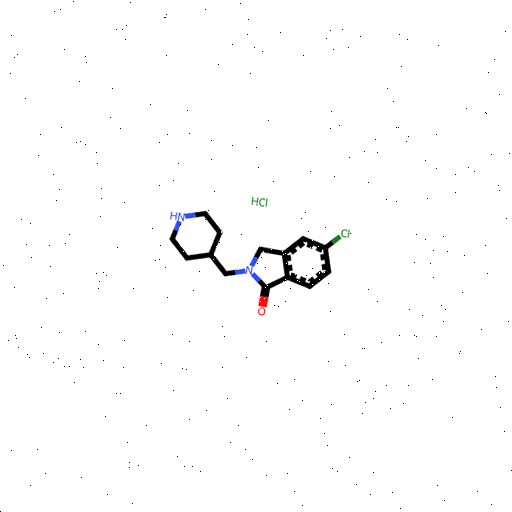 Cl.O=C1c2ccc(Cl)cc2CN1CC1CCNCC1